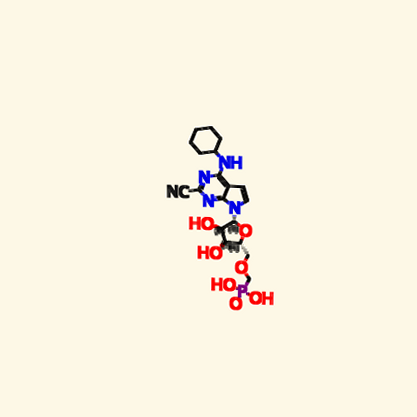 N#Cc1nc(NC2CCCCC2)c2ccn([C@@H]3O[C@H](COCP(=O)(O)O)[C@@H](O)[C@H]3O)c2n1